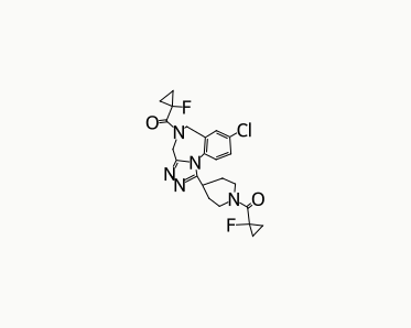 O=C(N1CCC(c2nnc3n2-c2ccc(Cl)cc2CN(C(=O)C2(F)CC2)C3)CC1)C1(F)CC1